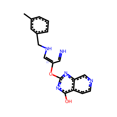 Cc1cccc(CN/C=C(\C=N)Oc2nc(O)c3ccncc3n2)c1